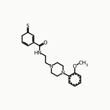 COc1ccccc1N1CCN(CCNC(=O)C2=CC(=S)CC=C2)CC1